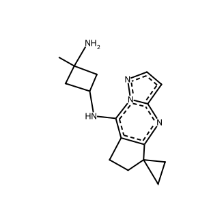 CC1(N)CC(Nc2c3c(nc4ccnn24)C2(CC3)CC2)C1